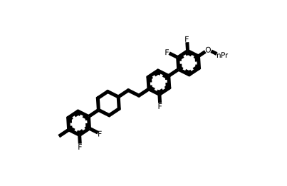 CCCOc1ccc(-c2ccc(CCC3CCC(c4ccc(C)c(F)c4F)CC3)c(F)c2)c(F)c1F